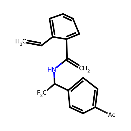 C=Cc1ccccc1C(=C)NC(c1ccc(C(C)=O)cc1)C(F)(F)F